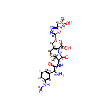 NC(C(=O)NC1C(=O)N2C(C(=O)O)=C(CSc3nnc(CS(=O)(=O)O)o3)CS[C@H]12)c1cccc(NC=O)c1